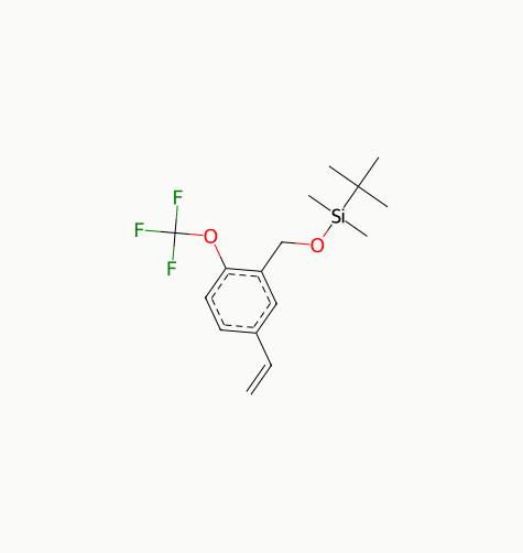 C=Cc1ccc(OC(F)(F)F)c(CO[Si](C)(C)C(C)(C)C)c1